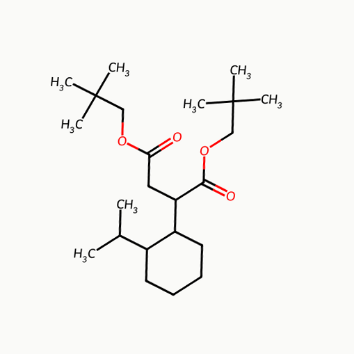 CC(C)C1CCCCC1C(CC(=O)OCC(C)(C)C)C(=O)OCC(C)(C)C